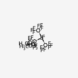 C[N+](C)(C)C.F[B-](C#Cc1cc(C(F)(F)F)cc(C(F)(F)F)c1)(C#Cc1cc(C(F)(F)F)cc(C(F)(F)F)c1)C#Cc1cc(C(F)(F)F)cc(C(F)(F)F)c1